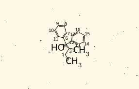 CCC(C)C(O)(c1ccccc1)c1ccccc1